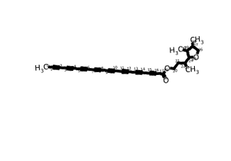 CC#CC#CC#CC#CC#CC#CC#CC#CC(=O)OCCC(C)C1OCC(C)C1C